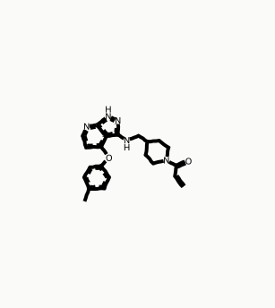 C=CC(=O)N1CCC(CNc2n[nH]c3nccc(Oc4ccc(C)cc4)c23)CC1